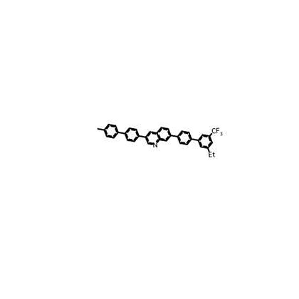 CCc1cc(-c2ccc(-c3ccc4cc(-c5ccc(-c6ccc(C)cc6)cc5)cnc4c3)cc2)cc(C(F)(F)F)c1